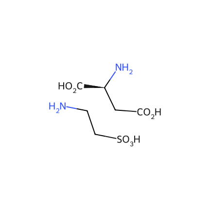 NCCS(=O)(=O)O.N[C@@H](CC(=O)O)C(=O)O